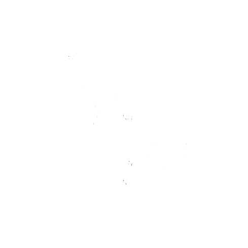 Brc1ccc2[nH]c3c(c2c1)CCc1cnn(-c2ccccc2)c1-3